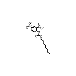 CCCCCCCCOC(=O)Oc1ccc([N+](=O)[O-])cc1[N+](=O)[O-]